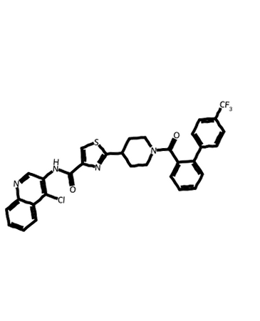 O=C(Nc1cnc2ccccc2c1Cl)c1csc(C2CCN(C(=O)c3ccccc3-c3ccc(C(F)(F)F)cc3)CC2)n1